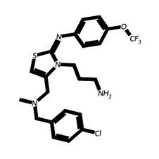 CN(Cc1ccc(Cl)cc1)Cc1cs/c(=N/c2ccc(OC(F)(F)F)cc2)n1CCCN